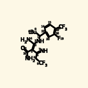 CC(C)(C)C(N/C(N)=C(\C(=N)CC(F)(F)F)C(N)=O)c1ccc(C(F)(F)F)c(F)c1